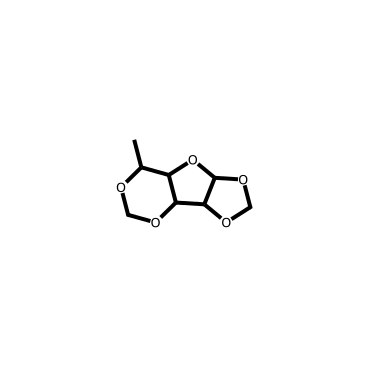 CC1OCOC2C1OC1OCOC12